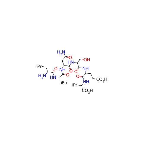 CC[C@H](C)[C@H](NC(=O)[C@@H](N)CC(C)C)C(=O)N[C@@H](CC(N)=O)C(=O)N[C@@H](CO)C(=O)N[C@@H](CCC(=O)O)C(=O)N[C@H](C(=O)O)C(C)C